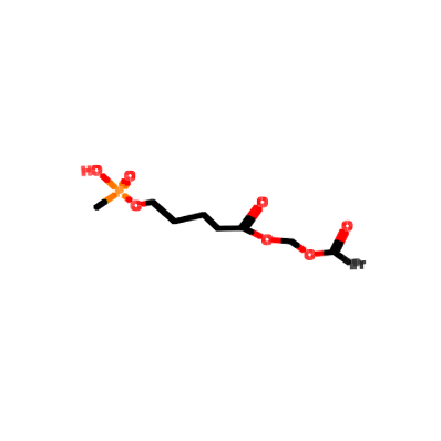 CC(C)C(=O)OCOC(=O)CCCCOP(C)(=O)O